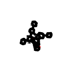 c1ccc(-c2ccc3c(c2)c2cc(-c4ccccc4)ccc2n3-c2cc(-c3ccccn3)ccc2-c2nc(-c3ccccc3)nc(-c3ccccc3)n2)cc1